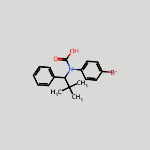 CC(C)(C)C(c1ccccc1)N(C(=O)O)c1ccc(Br)cc1